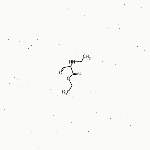 CCNC(C=O)C(=O)OCC